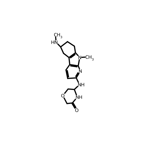 CNC1CCc2c(c3ccc(NC4COCC(=O)N4)nc3n2C)C1